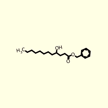 CCCCCCCCC(O)CCC(=O)OCc1ccccc1